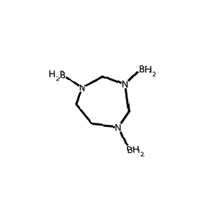 BN1CCN(B)CN(B)C1